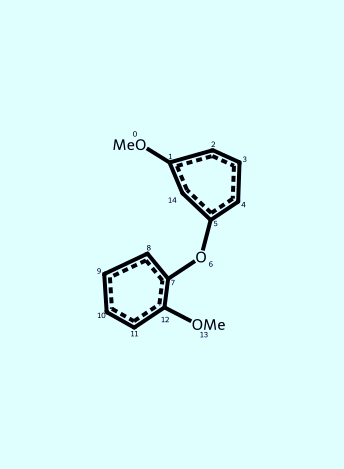 COc1cccc(Oc2ccccc2OC)c1